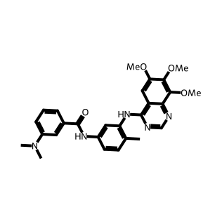 COc1cc2c(Nc3cc(NC(=O)c4cccc(N(C)C)c4)ccc3C)ncnc2c(OC)c1OC